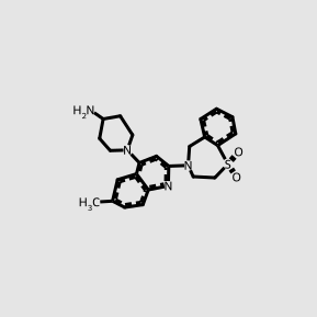 Cc1ccc2nc(N3CCS(=O)(=O)c4ccccc4C3)cc(N3CCC(N)CC3)c2c1